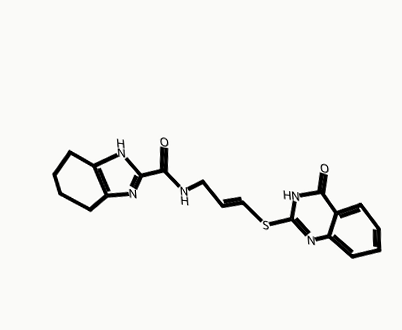 O=C(NC/C=C/Sc1nc2ccccc2c(=O)[nH]1)c1nc2c([nH]1)CCCC2